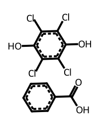 O=C(O)c1ccccc1.Oc1c(Cl)c(Cl)c(O)c(Cl)c1Cl